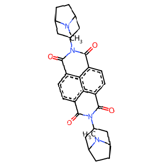 CN1C2CCC1CC(N1C(=O)c3ccc4c5c(ccc(c35)C1=O)C(=O)N(C1CC3CCC(C1)N3C)C4=O)C2